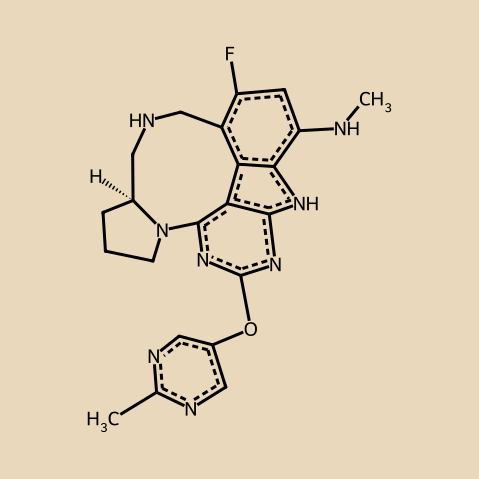 CNc1cc(F)c2c3c1[nH]c1nc(Oc4cnc(C)nc4)nc(c13)N1CCC[C@H]1CNC2